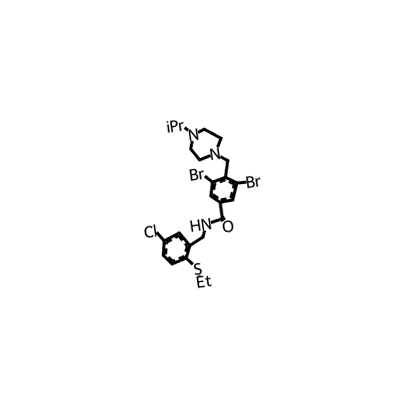 CCSc1ccc(Cl)cc1CNC(=O)c1cc(Br)c(CN2CCN(C(C)C)CC2)c(Br)c1